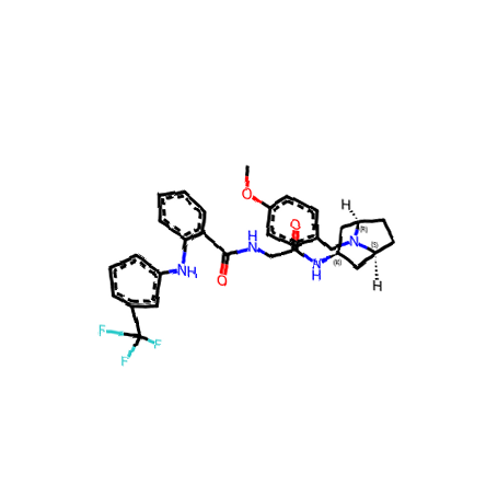 COc1ccc(CN2[C@@H]3CC[C@H]2C[C@@H](NC(=O)CNC(=O)c2ccccc2Nc2cccc(C(F)(F)F)c2)C3)cc1